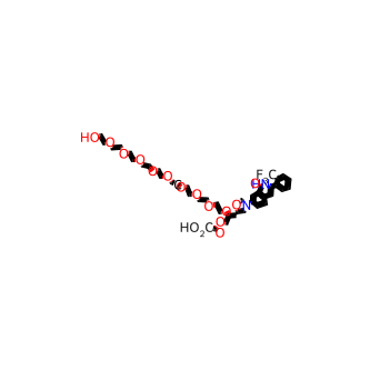 O=C(O)C(=O)OCC(C[C@H]1CN(c2ccc3cc(-c4ccccc4C(F)(F)F)[nH]c(=O)c3c2)CO1)OCCOCCOCCOCCOCCOCCOCCOCCOCCO